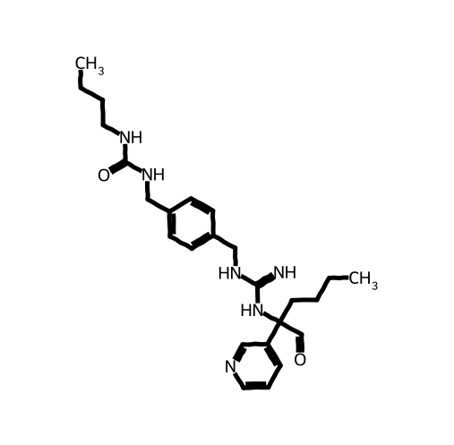 CCCCNC(=O)NCc1ccc(CNC(=N)NC(C=O)(CCCC)c2cccnc2)cc1